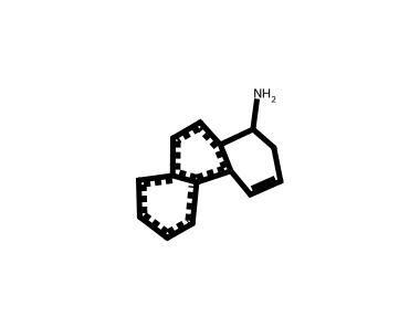 NC1CC=Cc2c1ccc1ccccc21